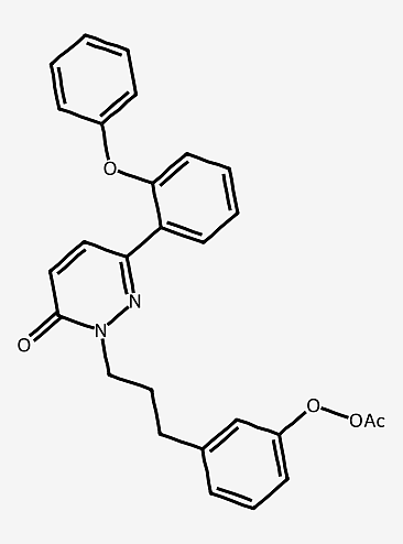 CC(=O)OOc1cccc(CCCn2nc(-c3ccccc3Oc3ccccc3)ccc2=O)c1